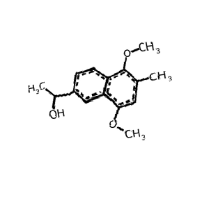 COc1cc(C)c(OC)c2ccc(C(C)O)cc12